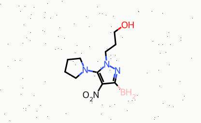 Bc1nn(CCCO)c(N2CCCC2)c1[N+](=O)[O-]